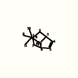 CC1CC2C=CC(C1)N2C(C)C